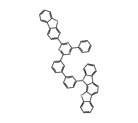 c1ccc(-c2nc(-c3cccc(-c4cccc(-n5c6ccccc6c6ccc7c8ccccc8sc7c65)c4)c3)nc(-c3ccc4c(c3)sc3ccccc34)n2)cc1